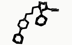 CSc1nnc(CCCN2CCN(c3ccccc3)CC2)n1-c1ccccc1